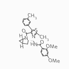 COc1ccc(C(=O)NC[C@@H]2C[C@@H]3C[C@@H]3N2C(=O)c2nc(C)sc2-c2cccc(C)c2)c(OC)c1